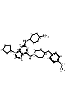 NC1CCC(Nc2nc(NN3CCC(Cc4ccc(OC(F)(F)F)cc4)CC3)c3ncn(C4CCCC4)c3n2)CC1